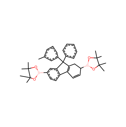 Cc1cccc(C2(c3ccccc3)C3=C(C=CC(B4OC(C)(C)C(C)(C)O4)C3)c3ccc(B4OC(C)(C)C(C)(C)O4)cc32)c1